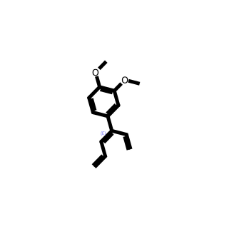 C=C/C=C(\C=C)c1ccc(OC)c(OC)c1